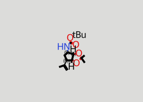 C=C(C)[C@H]1C[C@@H](NC(=O)OC(C)(C)C)[C@@H]2OC(C)(C)O[C@@H]21